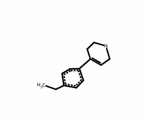 CCc1ccc(C2=CC[N]CC2)cc1